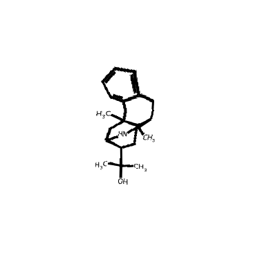 CC(C)(O)C1CC2(C)C3Cc4ccccc4C2(C)CC1N3